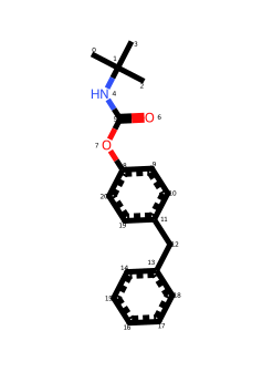 CC(C)(C)NC(=O)Oc1ccc(Cc2ccccc2)cc1